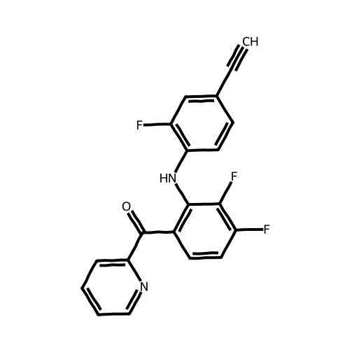 C#Cc1ccc(Nc2c(C(=O)c3ccccn3)ccc(F)c2F)c(F)c1